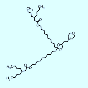 CCCCC(CCCC)CC(=O)OCCCCCCCCCCC1(CCCCCCCCCCOC(=O)CC(CCCC)CCCC)OCC(CCN2CCOCC2)O1